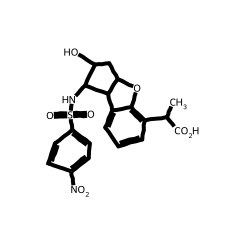 CC(C(=O)O)c1cccc2c1OC1CC(O)C(NS(=O)(=O)c3ccc([N+](=O)[O-])cc3)C21